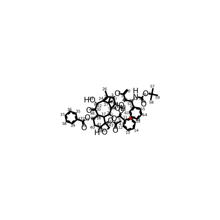 C=C(O[C@H]1C[C@@]2(O)[C@@H](OC(=O)c3ccccc3)C3[C@](C)(C(=O)[C@H](O)C(=C1C)C2(C)C)[C@@H](OC(=O)c1ccccc1)C[C@H]1OC[C@@]31OC(C)=O)[C@H](O)[C@@H](NC(=O)OC(C)(C)C)c1ccccc1